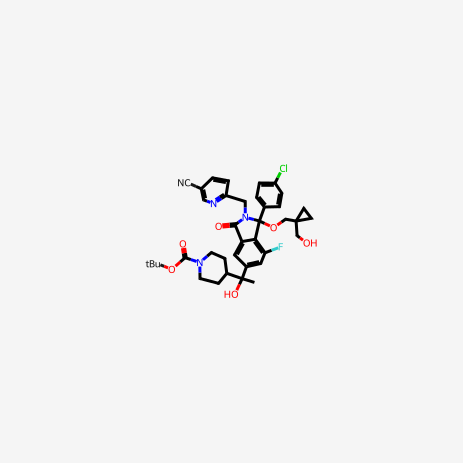 CC(C)(C)OC(=O)N1CCC(C(C)(O)c2cc(F)c3c(c2)C(=O)N(Cc2ccc(C#N)cn2)C3(OCC2(CO)CC2)c2ccc(Cl)cc2)CC1